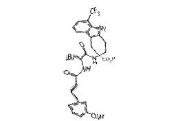 CCC(C)C(NC(=O)CCc1cccc(OC)c1)C(=O)NC1(C(=O)O)CCc2[nH]c3c(C(F)(F)F)cccc3c2C1